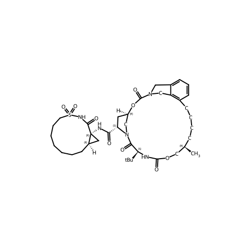 C[C@@H]1CCCCc2cccc3c2CN(C3)C(=O)O[C@@H]2C[C@@H](C(=O)N[C@]34C[C@H]3CCCCCCCS(=O)(=O)NC4=O)N(C2)C(=O)[C@H](C(C)(C)C)NC(=O)OC1